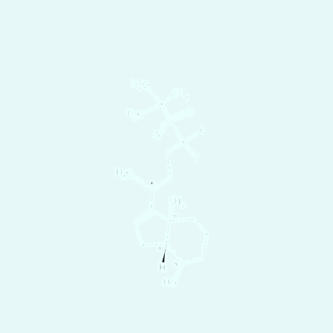 C[C@H](CCC(F)(F)S(=O)(=O)C(C)(C)C)C1=CC[C@H]2[C@@H](O)CCC[C@]12C